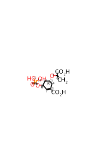 C=C(O[C@@H]1CC(C(=O)O)=C[C@@H](OP(=O)(O)O)C1)C(=O)O